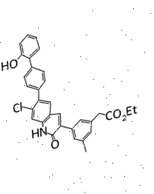 CCOC(=O)Cc1cc(C)cc(-c2cc3cc(-c4ccc(-c5ccccc5O)cc4)c(Cl)cc3[nH]c2=O)c1